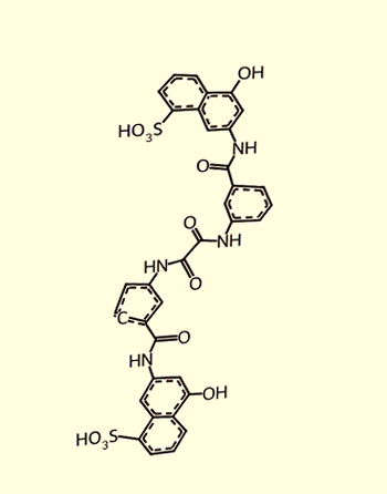 O=C(Nc1cccc(C(=O)Nc2cc(O)c3cccc(S(=O)(=O)O)c3c2)c1)C(=O)Nc1cccc(C(=O)Nc2cc(O)c3cccc(S(=O)(=O)O)c3c2)c1